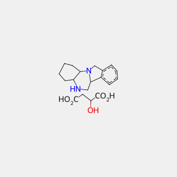 O=C(O)CC(O)C(=O)O.c1ccc2c(c1)CN1C2CNC2CCCCC21